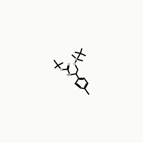 Cc1ccc(C(CO[Si](C)(C)C(C)(C)C)NC(=O)OC(C)(C)C)cc1